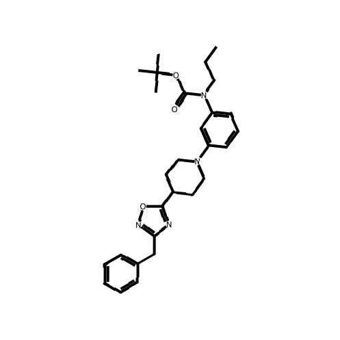 CCCN(C(=O)OC(C)(C)C)c1cccc(N2CCC(c3nc(Cc4ccccc4)no3)CC2)c1